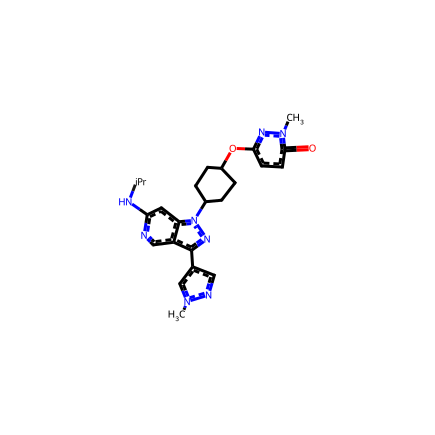 CC(C)Nc1cc2c(cn1)c(-c1cnn(C)c1)nn2C1CCC(Oc2ccc(=O)n(C)n2)CC1